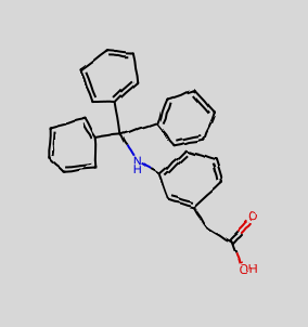 O=C(O)Cc1cccc(NC(c2ccccc2)(c2ccccc2)c2ccccc2)c1